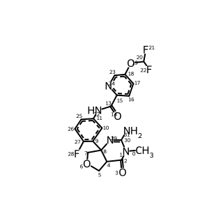 CN1C(=O)C2COCC2(c2cc(NC(=O)c3ccc(OC(F)F)cn3)ccc2F)N=C1N